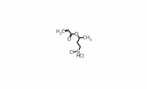 C=CC(=O)OC(C)CC[SiH](Cl)Cl